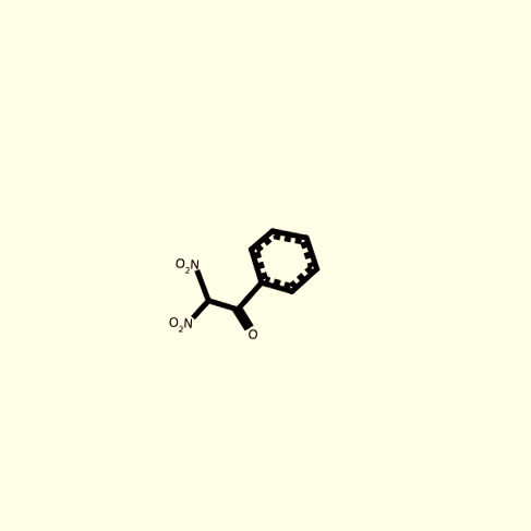 O=C(c1ccccc1)C([N+](=O)[O-])[N+](=O)[O-]